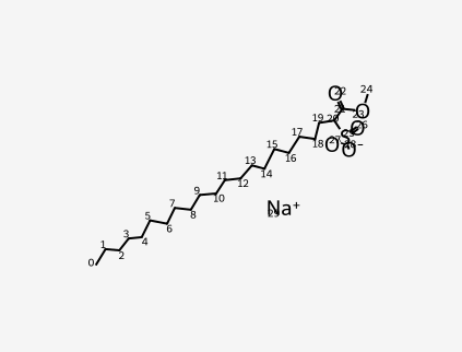 CCCCCCCCCCCCCCCCCCCCC(C(=O)OC)S(=O)(=O)[O-].[Na+]